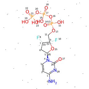 Nc1ccn([C@H]2C[C@H](F)[C@@](F)(COP(=O)(O)OP(=O)(O)OP(=O)(O)O)O2)c(=O)n1